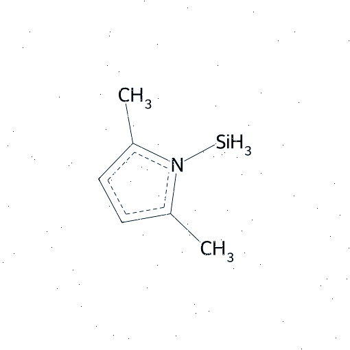 Cc1ccc(C)n1[SiH3]